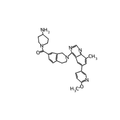 COc1ccc(-c2cc(C)c3ncnc(N4CCc5ccc(C(=O)N6CCC(N)CC6)cc5C4)c3c2)cn1